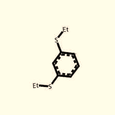 CCSc1[c]ccc(SCC)c1